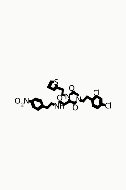 O=C(CC1C(=O)N(CCc2ccc(Cl)cc2Cl)CC(=O)N1CCc1cccs1)NCCc1ccc([N+](=O)[O-])cc1